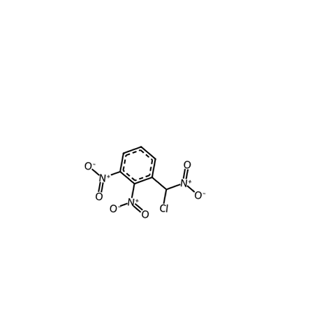 O=[N+]([O-])c1cccc(C(Cl)[N+](=O)[O-])c1[N+](=O)[O-]